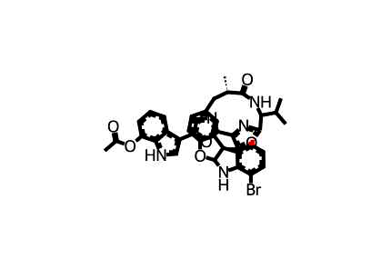 CC(=O)Oc1cccc2c(-c3cnc(-c4nc5oc4[C@]46c7cc(ccc7OC4Nc4c(Br)cccc46)C[C@H](C)C(=O)NC5C(C)C)o3)c[nH]c12